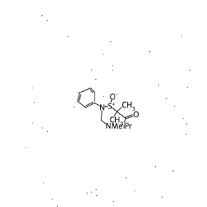 CNCN(c1cc[c]cc1)[S+]([O-])C(C)(C)C(=O)C(C)C